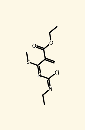 C=C(C(=O)OCC)/C(=N\C(Cl)=N/CC)SC